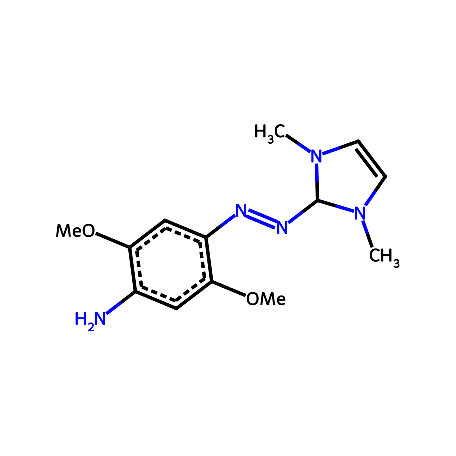 COc1cc(N=NC2N(C)C=CN2C)c(OC)cc1N